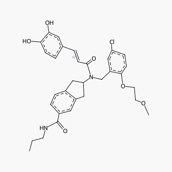 CCCNC(=O)c1ccc2c(c1)CC(N(Cc1cc(Cl)ccc1OCCOC)C(=O)/C=C/c1ccc(O)c(O)c1)C2